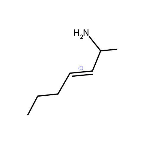 CCC/C=C/C(C)N